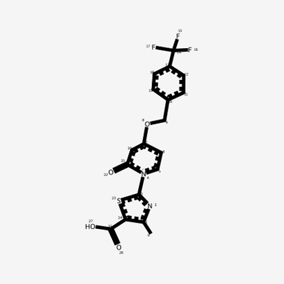 Cc1nc(-n2ccc(OCc3ccc(C(F)(F)F)cc3)cc2=O)sc1C(=O)O